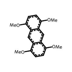 COc1ccc(OC)c2cc3c(OC)ccc(OC)c3cc12